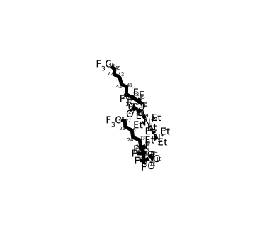 CC[N+](CC)(CC)CC.CC[N+](CC)(CC)CC.O=S(=O)([O-])C(F)(F)C(F)(F)C(F)(F)CCCCCC(F)(F)F.O=S(=O)([O-])C(F)(F)C(F)(F)C(F)CCCCCC(F)(F)F